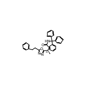 C[C@H](CC(=O)NC(c1ccccc1)(c1ccccc1)c1ccccc1)c1nnc(CCc2ccccc2)o1